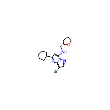 Brc1cnn2c(NC[C@@H]3CCCO3)cc(C3CCCCC3)nc12